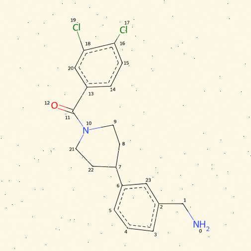 NCc1cccc(C2CCN(C(=O)c3ccc(Cl)c(Cl)c3)CC2)c1